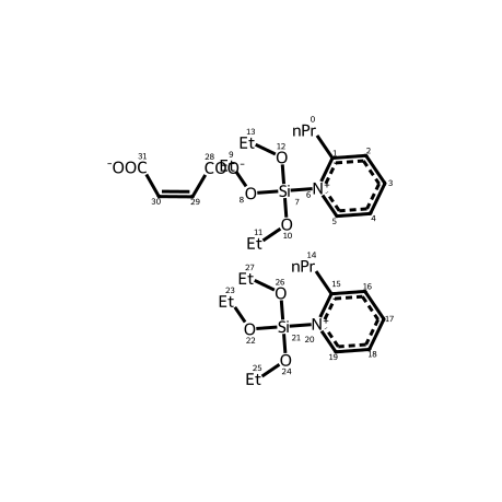 CCCc1cccc[n+]1[Si](OCC)(OCC)OCC.CCCc1cccc[n+]1[Si](OCC)(OCC)OCC.O=C([O-])/C=C\C(=O)[O-]